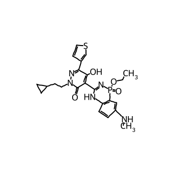 CCOP1(=O)N=C(c2c(O)c(-c3ccsc3)nn(CCC3CC3)c2=O)Nc2ccc(NC)cc21